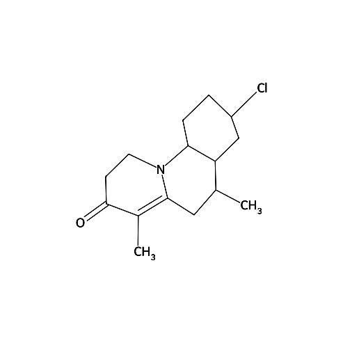 CC1=C2CC(C)C3CC(Cl)CCC3N2CCC1=O